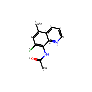 COc1cc(Br)c(NC(=O)C(C)(C)C)c2ncccc12